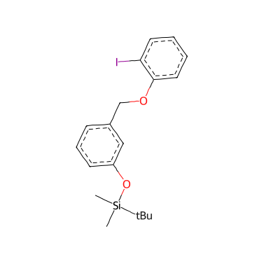 CC(C)(C)[Si](C)(C)Oc1cccc(COc2ccccc2I)c1